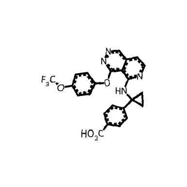 O=C(O)c1ccc(C2(Nc3nccc4cnnc(Oc5ccc(OC(F)(F)F)cc5)c34)CC2)cc1